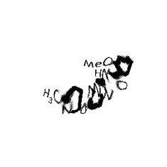 COc1ccccc1C(=O)Nc1cn2nc(Oc3ccc(C)nc3)ccc2n1